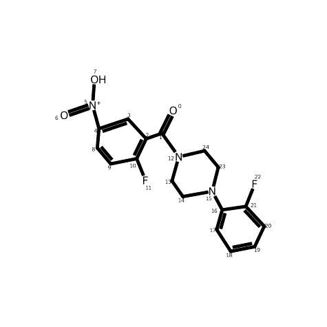 O=C(c1cc([N+](=O)O)ccc1F)N1CCN(c2ccccc2F)CC1